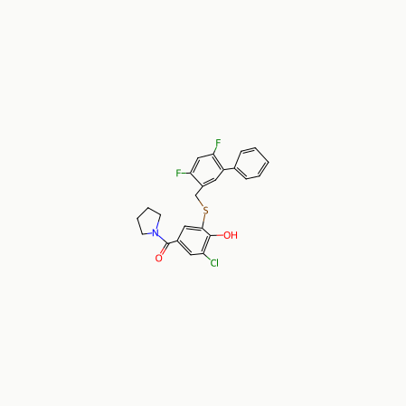 O=C(c1cc(Cl)c(O)c(SCc2cc(-c3ccccc3)c(F)cc2F)c1)N1CCCC1